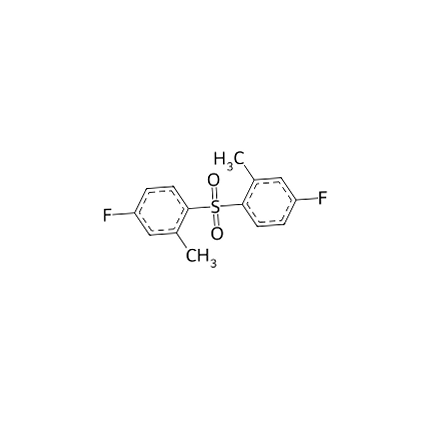 Cc1cc(F)ccc1S(=O)(=O)c1ccc(F)cc1C